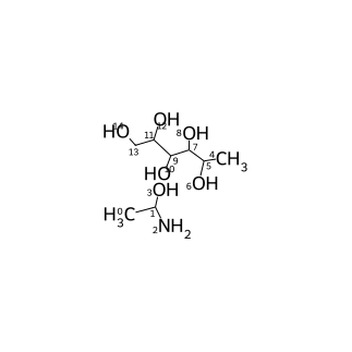 CC(N)O.CC(O)C(O)C(O)C(O)CO